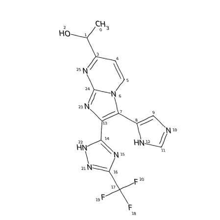 CC(O)c1ccn2c(-c3cnc[nH]3)c(-c3nc(C(F)(F)F)n[nH]3)nc2n1